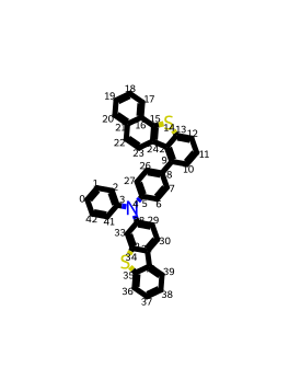 c1ccc(N(c2ccc(-c3cccc4sc5c6ccccc6ccc5c34)cc2)c2ccc3c(c2)sc2ccccc23)cc1